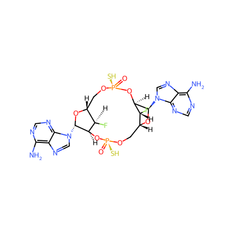 Nc1ncnc2c1ncn2[C@@H]1O[C@@H]2CO[P@@](=O)(S)O[C@@H]3[C@H](F)[C@@H](CO[P@@](=O)(S)O[C@@H]1[C@@H]2F)O[C@@H]3n1cnc2c(N)ncnc21